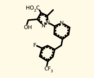 Cc1c(C(=O)O)c(CO)nn1-c1cc(Cc2cc(F)cc(C(F)(F)F)c2)ccn1